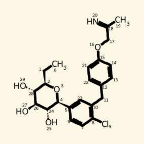 CC[C@H]1O[C@@H](c2ccc(Cl)c(Cc3ccc(OCC(C)=N)cc3)c2)[C@H](O)[C@@H](O)[C@@H]1O